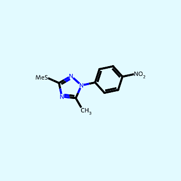 CSc1nc(C)n(-c2ccc([N+](=O)[O-])cc2)n1